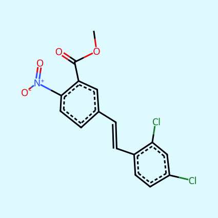 COC(=O)c1cc(C=Cc2ccc(Cl)cc2Cl)ccc1[N+](=O)[O-]